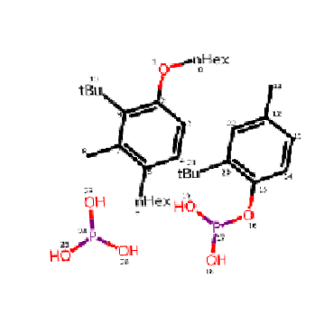 CCCCCCOc1ccc(CCCCCC)c(C)c1C(C)(C)C.Cc1ccc(OP(O)O)c(C(C)(C)C)c1.OP(O)O